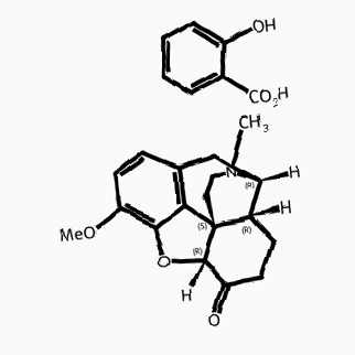 COc1ccc2c3c1O[C@H]1C(=O)CC[C@H]4[C@@H](C2)N(C)CC[C@]314.O=C(O)c1ccccc1O